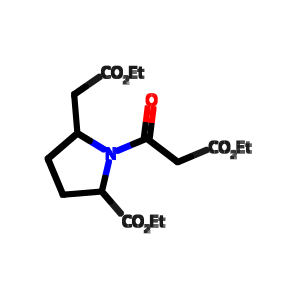 CCOC(=O)CC(=O)N1C(CC(=O)OCC)CCC1C(=O)OCC